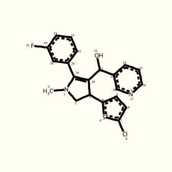 CN1CC(c2ccc(Cl)s2)C(C(O)c2cccnc2)=C1c1cccc(F)c1